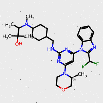 CC(N(C)C1CCC(CNc2nc(N3CCOC[C@@H]3C)cc(-n3c(C(F)F)nc4ccccc43)n2)CC1)C(C)(C)O